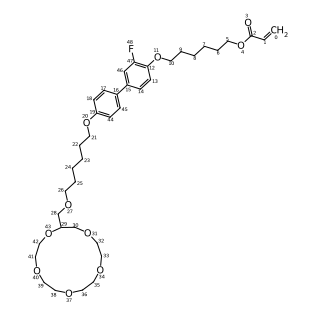 C=CC(=O)OCCCCCCOc1ccc(-c2ccc(OCCCCCCOCC3COCCOCCOCCOCCO3)cc2)cc1F